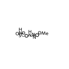 COc1ccc2nc(CNc3ccc(CC4SC(=O)NC4=O)cc3)n(C)c2c1